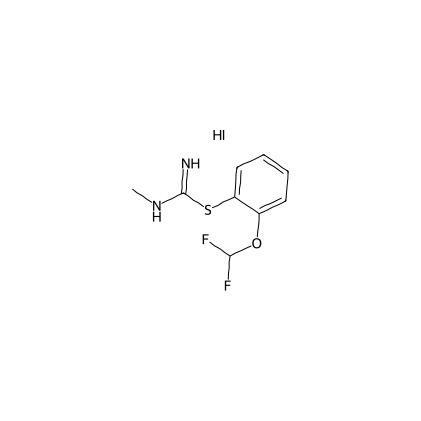 CNC(=N)Sc1ccccc1OC(F)F.I